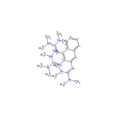 CN(C)C(=Nc1cc2ccccc2c(N=C(N(C)C)N(C)C)c1N=C(N(C)C)N(C)C)N(C)C